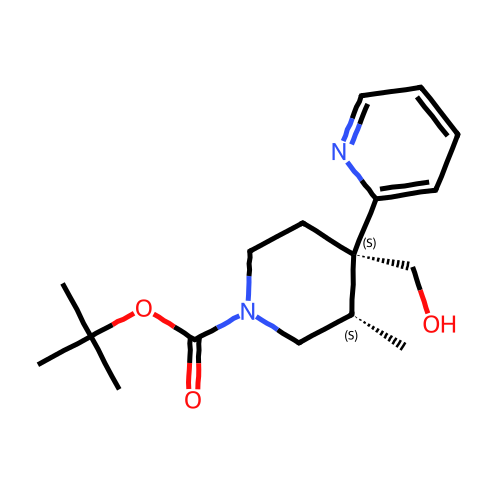 C[C@@H]1CN(C(=O)OC(C)(C)C)CC[C@@]1(CO)c1ccccn1